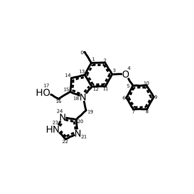 Cc1cc(Oc2ccccc2)cc2c1cc(CO)n2Cc1nc[nH]n1